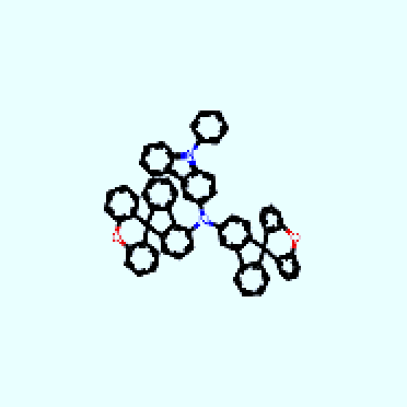 c1ccc(-n2c3ccccc3c3cc(N(c4ccc5c(c4)-c4ccccc4C54c5ccccc5Oc5ccccc54)c4cccc5c4-c4ccccc4C54c5ccccc5Oc5ccccc54)ccc32)cc1